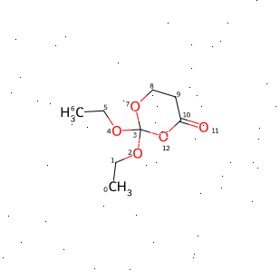 CCOC1(OCC)OCCC(=O)O1